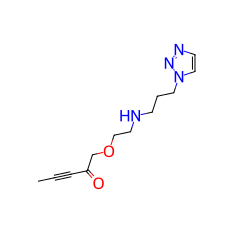 CC#CC(=O)COCCNCCCn1ccnn1